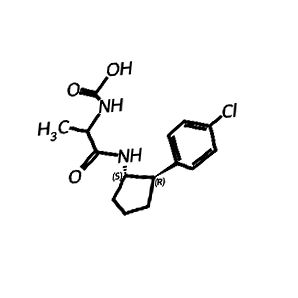 CC(NC(=O)O)C(=O)N[C@H]1CCC[C@@H]1c1ccc(Cl)cc1